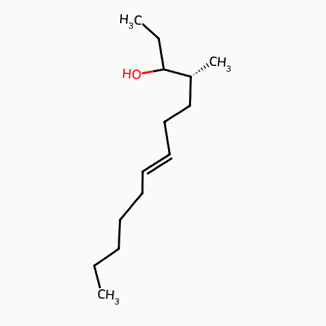 CCCCC/C=C/CC[C@@H](C)C(O)CC